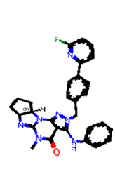 CN1C(=O)c2c(nn(Cc3ccc(-c4cccc(F)n4)cc3)c2Nc2ccccc2)N2C1=NC1CCC[C@@H]12